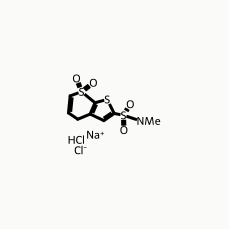 CNS(=O)(=O)c1cc2c(s1)S(=O)(=O)C=CC2.Cl.[Cl-].[Na+]